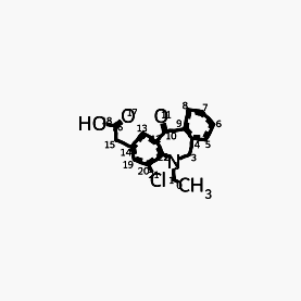 CCN1Cc2ccccc2C(=O)c2cc(CC(=O)O)cc(Cl)c21